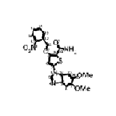 COc1cc2ncn(-c3cc(OCc4ccccc4[N+](=O)[O-])c(C(N)=O)s3)c2cc1OC